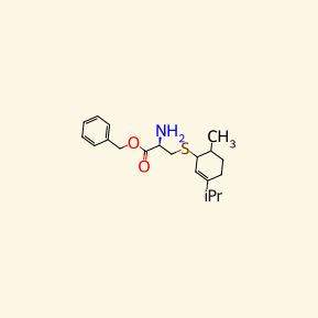 CC(C)C1=CC(SC[C@H](N)C(=O)OCc2ccccc2)C(C)CC1